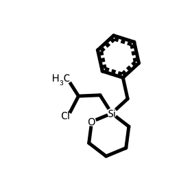 CC(Cl)C[Si]1(Cc2ccccc2)CCCCO1